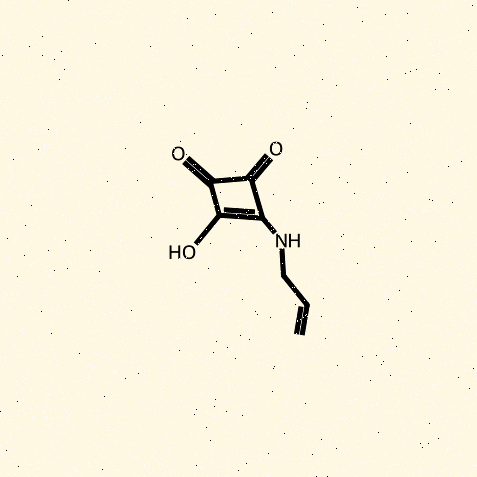 C=CCNc1c(O)c(=O)c1=O